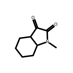 CN1C(=O)C(=O)C2CCCCC21